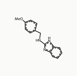 COc1ccc(CNc2nc3ccccc3[nH]2)cc1